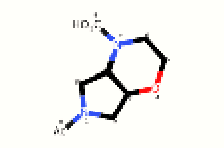 CC(=O)N1CC2OCCN(C(=O)O)C2C1